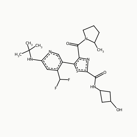 CC1CCCN1C(=O)c1nc(C(=O)NC2CC(O)C2)sc1-c1cnc(NC(C)(C)C)cc1C(F)F